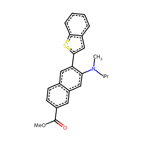 COC(=O)c1ccc2cc(-c3cc4ccccc4s3)c(N(C)C(C)C)cc2c1